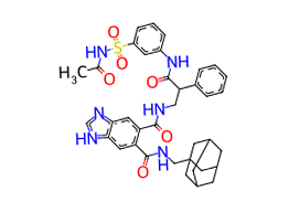 CC(=O)NS(=O)(=O)c1cccc(NC(=O)C(CNC(=O)c2cc3nc[nH]c3cc2C(=O)NCC23CC4CC(CC(C4)C2)C3)c2ccccc2)c1